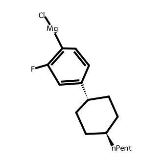 CCCCC[C@H]1CC[C@H](c2cc[c]([Mg][Cl])c(F)c2)CC1